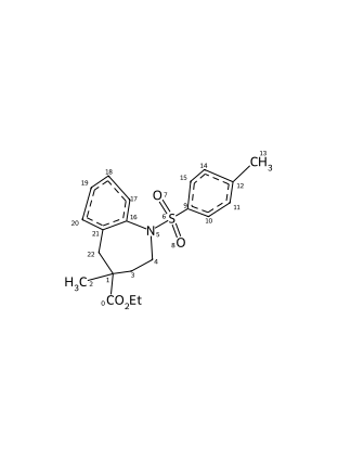 CCOC(=O)C1(C)CCN(S(=O)(=O)c2ccc(C)cc2)c2ccccc2C1